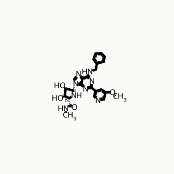 CNC(=O)[C@H]1N[C@@H](n2cnc3c(NCc4ccccc4)nc(-c4cncc(OC)c4)nc32)[C@H](O)[C@@H]1O